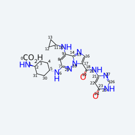 O=C(O)N[C@H]1CC[C@H](Nc2cc(NC3CC3)c3ncc(C(=O)Nc4cc(=O)[nH]cn4)n3n2)CC1